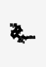 CCCCCCCCCC[SiH](C)c1cccc2c1ccn2C